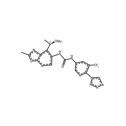 CO[C@H](C)c1c(NC(=O)Nc2cnc(-n3cnnn3)c(C(F)(F)F)c2)cnc2sc(C)nc12